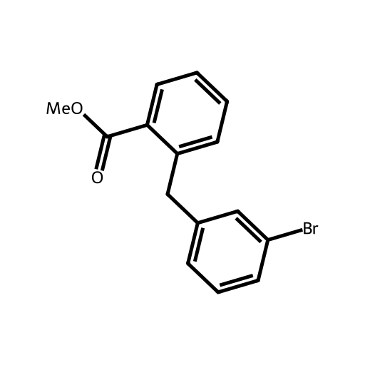 COC(=O)c1ccccc1Cc1cccc(Br)c1